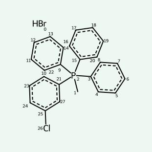 Br.CP(c1ccccc1)(c1ccccc1)(c1ccccc1)c1cccc(Cl)c1